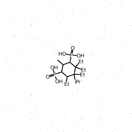 CCC1C(P(=O)(O)O)C(C)C(P(=O)(O)O)C(CC)(CC)C1(CC)C(C)C